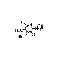 CCC(C)Cn1c(C)c(Cl)nc(-n2cccn2)c1=O